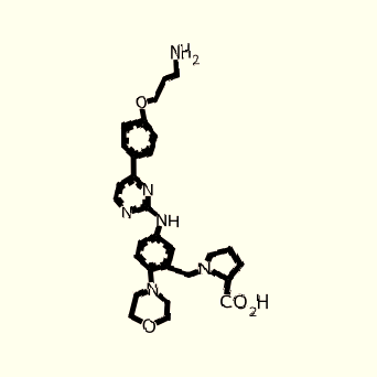 NCCCOc1ccc(-c2ccnc(Nc3ccc(N4CCOCC4)c(CN4CCCC4C(=O)O)c3)n2)cc1